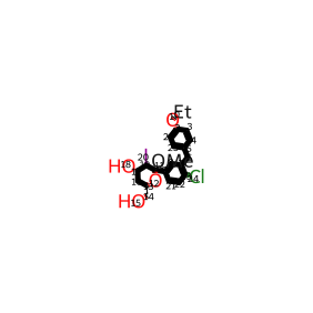 CCOc1ccc(Cc2cc([C@]3(OC)O[C@H](CO)C[C@H](O)[C@H]3I)ccc2Cl)cc1